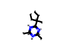 CCC(C)(CC)c1nc(C)nc(C)n1